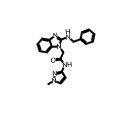 Cn1ccc(NC(=O)Cn2c(NCc3ccccc3)nc3ccccc32)n1